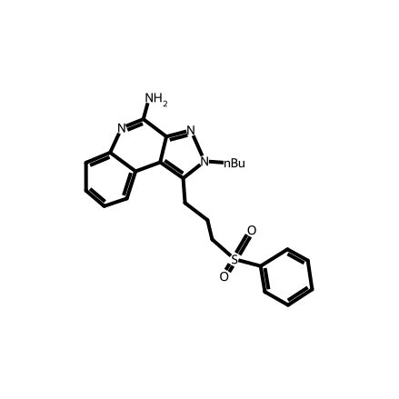 CCCCn1nc2c(N)nc3ccccc3c2c1CCCS(=O)(=O)c1ccccc1